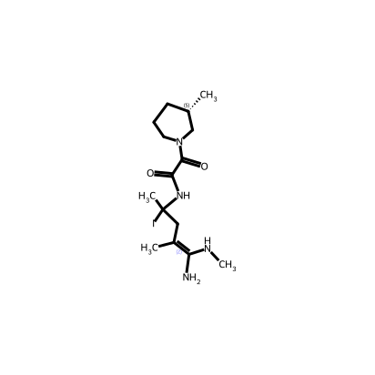 CN/C(N)=C(/C)CC(C)(I)NC(=O)C(=O)N1CCC[C@H](C)C1